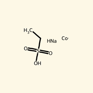 CCS(=O)(=O)O.[Co].[NaH]